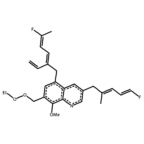 C=C/C(=C\C=C(/C)F)Cc1cc(COOCC)c(OC)c2ncc(C/C(C)=C/C=C/F)cc12